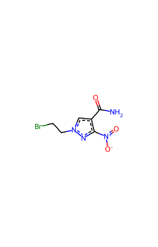 NC(=O)c1cn(CCBr)nc1[N+](=O)[O-]